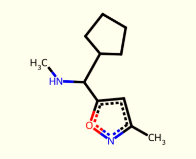 CNC(c1cc(C)no1)C1CCCC1